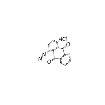 Cl.N#[N+]c1cccc2c1C(=O)c1ccccc1C2=O